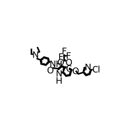 CCN(CC)Cc1ccc(NC(=O)c2[nH]c3ccc(OCc4ccc(Cl)nc4)cc3c2OC(=O)C(F)(F)F)cc1